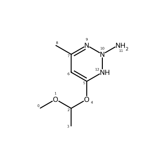 COC(C)OC1=CC(C)=NN(N)N1